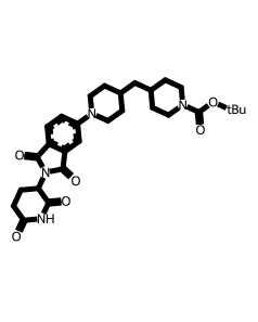 CC(C)(C)OC(=O)N1CCC(CC2CCN(c3ccc4c(c3)C(=O)N(C3CCC(=O)NC3=O)C4=O)CC2)CC1